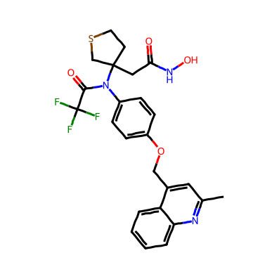 Cc1cc(COc2ccc(N(C(=O)C(F)(F)F)C3(CC(=O)NO)CCSC3)cc2)c2ccccc2n1